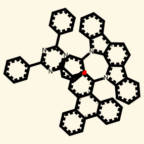 c1ccc(-c2nc(-c3ccccc3)nc(-c3cc(-n4c5ccccc5c5ccc6c7ccccc7n(-c7ccccc7)c6c54)c4c5ccccc5c5ccccc5c4c3)n2)cc1